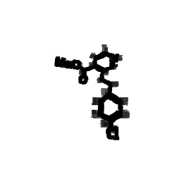 COC(=O)c1ccncc1CCc1ccc(Cl)cc1